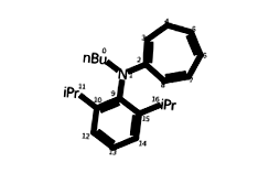 CCCCN(C1=CCC=CC=C1)c1c(C(C)C)cccc1C(C)C